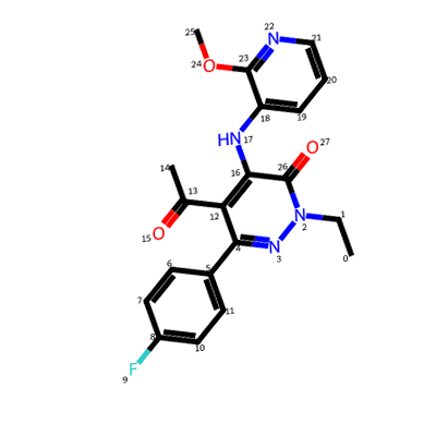 CCn1nc(-c2ccc(F)cc2)c(C(C)=O)c(Nc2cccnc2OC)c1=O